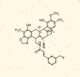 COc1c(C)cc2c(c1O)C1[C@@H]3Cc4c(O)c(C)c5c(c4C(CNC(=O)/C=C/c4cccc(CF)c4)N3[C@@H](C#N)C(C2)N1C)OCO5